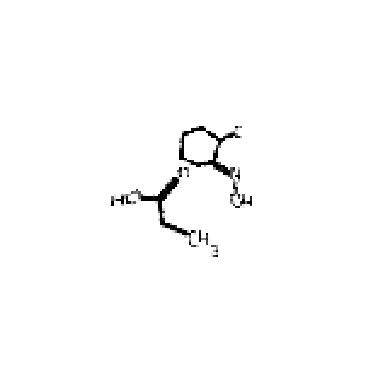 CCC(=O)O.ON=C1CCCCC1Cl